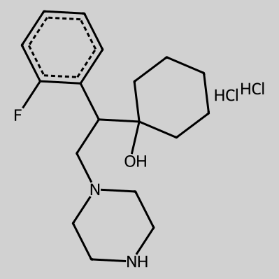 Cl.Cl.OC1(C(CN2CCNCC2)c2ccccc2F)CCCCC1